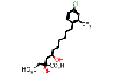 O=C(O)CC(O)(CC(O)CCCCCCc1ccc(Cl)cc1C(F)(F)F)C(=O)O